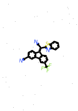 N#C/C(=C1\c2ccc(C#N)cc2-c2cc(C(F)(F)F)ccc21)c1nc2ccccc2s1